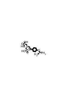 O=P(O)(O)CN(CCc1ccc(OP(P)P)cc1)CP(=O)(O)O